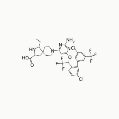 CCC1NC(C(=O)O)CC12CCN(c1cc(O[C@H](c3ccc(Cl)cc3-c3cc(Cl)cc(C(F)(F)F)c3)C(F)(F)F)nc(N)n1)CC2